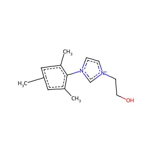 Cc1cc(C)c(-n2cc[n+](CCO)c2)c(C)c1